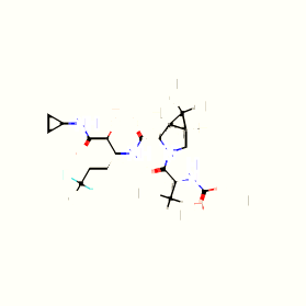 COC(=O)N[C@H](C(=O)N1C[C@H]2[C@@H]([C@H]1C(=O)N[C@@H](CCC(C)(F)F)C(O)C(=O)NC1CC1)C2(C)C)C(C)(C)C